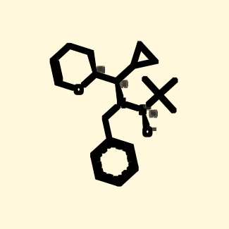 CC(C)(C)[S@@+]([O-])N(Cc1ccccc1)[C@H](C1CC1)[C@@H]1CCC=CO1